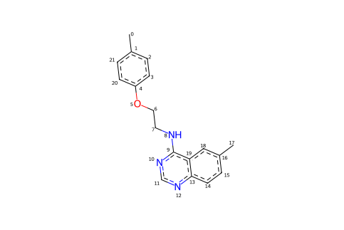 Cc1ccc(OCCNc2ncnc3ccc(C)cc23)cc1